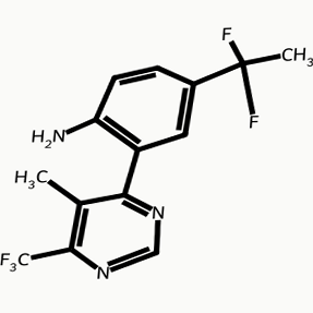 Cc1c(-c2cc(C(C)(F)F)ccc2N)ncnc1C(F)(F)F